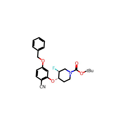 CC(C)(C)OC(=O)N1CC[C@H](Oc2cc(OCc3ccccc3)ccc2C#N)[C@@H](F)C1